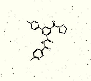 Cc1ccc(-c2cc(C(=O)NC(=O)c3ccc(C)nc3)cc(C(=O)N3CCCC3)c2)cc1